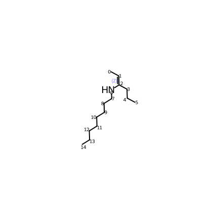 C/C=C(/CCC)NCCCCCCCC